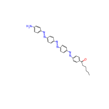 CCCCCC(=O)c1ccc(N=Nc2ccc(N=Nc3ccc(N=Nc4ccc(N)cc4)cc3)cc2)cc1